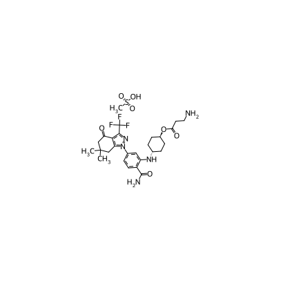 CC1(C)CC(=O)c2c(C(F)(F)F)nn(-c3ccc(C(N)=O)c(N[C@H]4CC[C@H](OC(=O)CCN)CC4)c3)c2C1.CS(=O)(=O)O